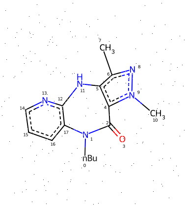 CCCCN1C(=O)c2c(c(C)nn2C)Nc2ncccc21